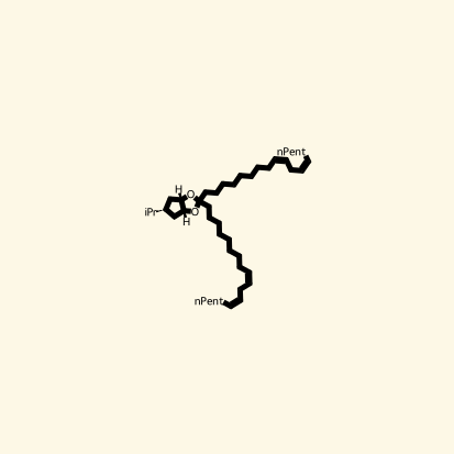 CCCCC/C=C\C/C=C\CCCCCCCCC1(CCCCCCCC/C=C\C/C=C\CCCCC)O[C@H]2C[C@@H](C(C)C)C[C@H]2O1